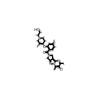 Cc1nc2c3c(nn2c(C)c1Cl)CN(C(=O)c1ccc(F)cc1O[C@H]1CCN(CCO)C[C@@H]1F)C3